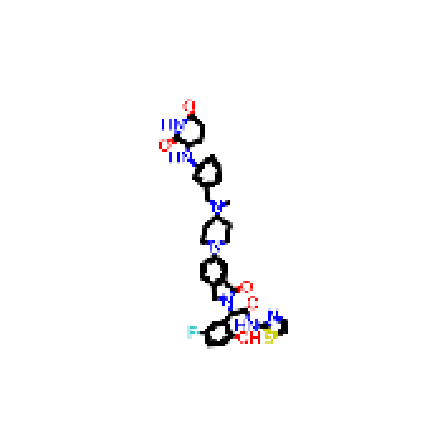 CN(Cc1cccc(NC2CCC(=O)NC2=O)c1)C1CCN(c2ccc3c(c2)C(=O)N(C(C(=O)Nc2nccs2)c2cc(F)ccc2O)C3)CC1